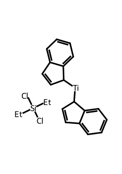 C1=C[CH]([Ti][CH]2C=Cc3ccccc32)c2ccccc21.CC[Si](Cl)(Cl)CC